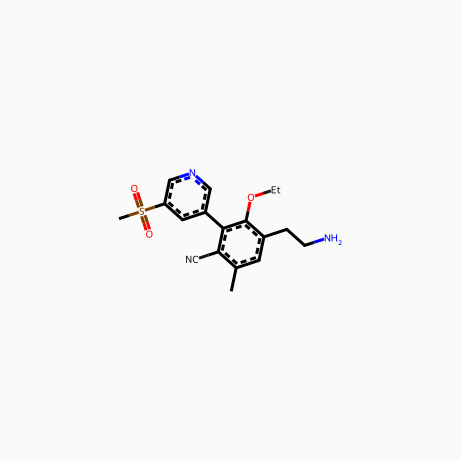 CCOc1c(CCN)cc(C)c(C#N)c1-c1cncc(S(C)(=O)=O)c1